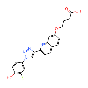 O=C(O)CCCOc1ccc2ccc(-c3cn(-c4ccc(O)c(F)c4)nn3)nc2c1